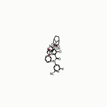 N#Cc1cc(NC(=O)c2c(Cl)c(S(=O)(=O)N3C4CCC3CC(O)(c3cc(-c5ccccc5)on3)C4)c3n2CC=C3)cc(F)n1